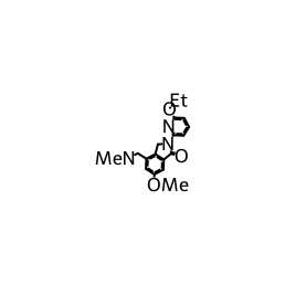 CCOc1cccc(N2Cc3c(CNC)cc(OC)cc3C2=O)n1